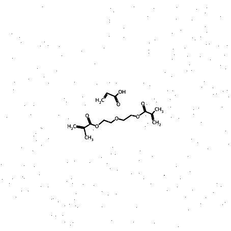 C=C(C)C(=O)OCCOCCOC(=O)C(=C)C.C=CC(=O)O